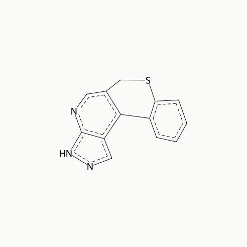 c1ccc2c(c1)SCc1cnc3[nH]ncc3c1-2